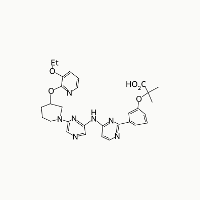 CCOc1cccnc1OC1CCCN(c2cncc(Nc3ccnc(-c4cccc(OC(C)(C)C(=O)O)c4)n3)n2)C1